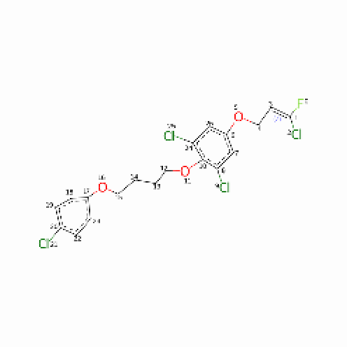 F/C(Cl)=C/COc1cc(Cl)c(OCCCCOc2ccc(Cl)cc2)c(Cl)c1